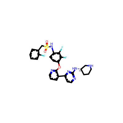 O=S(=O)(Cc1ccccc1F)Nc1ccc(Oc2ncccc2-c2ccnc(N[C@H]3CCCNC3)n2)c(F)c1F